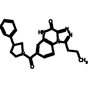 CCCc1nnc2c(=O)[nH]c3cc(C(=O)N4CCC(c5ccccc5)C4)ccc3n12